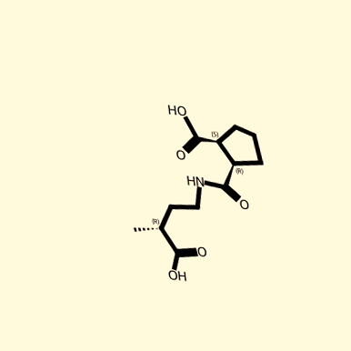 C[C@H](CCNC(=O)[C@@H]1CCC[C@@H]1C(=O)O)C(=O)O